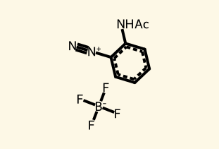 CC(=O)Nc1ccccc1[N+]#N.F[B-](F)(F)F